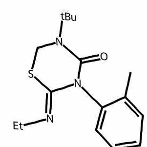 CCN=C1SCN(C(C)(C)C)C(=O)N1c1ccccc1C